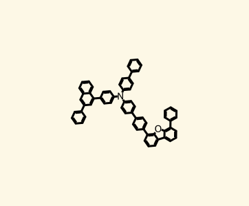 c1ccc(-c2ccc(N(c3ccc(-c4ccc(-c5cccc6c5oc5c(-c7ccccc7)cccc56)cc4)cc3)c3ccc(-c4cc(-c5ccccc5)cc5ccccc45)cc3)cc2)cc1